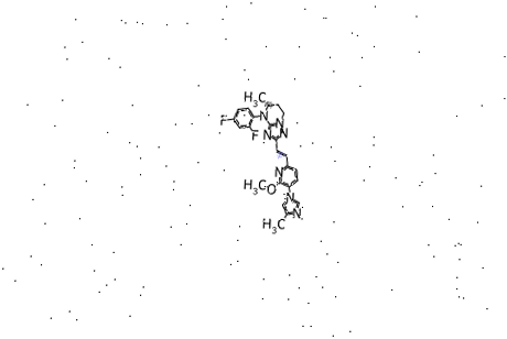 COc1nc(/C=C/c2nc3n(n2)CC[C@@H](C)N3c2ccc(F)cc2F)ccc1-n1cnc(C)c1